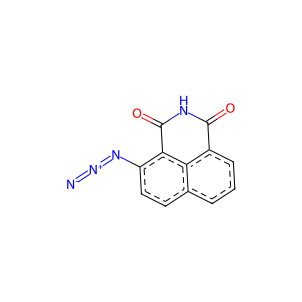 [N-]=[N+]=Nc1ccc2cccc3c2c1C(=O)NC3=O